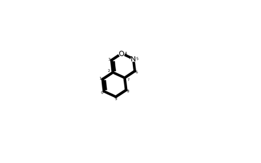 C1=CC2=CO[N]CC2CC1